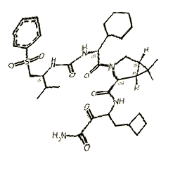 CC(C)[C@@H](CS(=O)(=O)c1ccccc1)NC(=O)N[C@H](C(=O)N1C[C@H]2[C@@H]([C@H]1C(=O)NC(CC1CCC1)C(=O)C(N)=O)C2(C)C)C1CCCCC1